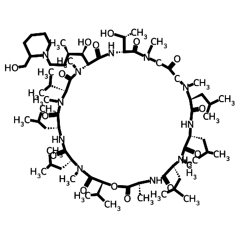 CC(C)C[C@@H]1C(=O)N[C@H](CC(C)C)C(=O)N(C)[C@H](C(C)C)C(=O)N(C)[C@H]([C@H](O)[C@H](C)CCN2CCCCC2CO)C(=O)N[C@H]([C@@H](C)O)C(=O)N(C)CC(=O)CN(C)[C@@H](CC(C)C)C(=O)N[C@H](CC(C)C)C(=O)N(C)[C@H](CC(C)C)C(=O)N[C@H](C)C(=O)O[C@@H](C(C)C)C(=O)N1C